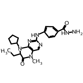 CCC1C(=O)N(C)c2cnc(Nc3ccc(C(=O)NN)cc3)nc2N1C1CCCC1